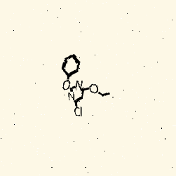 CCOc1cc(Cl)nc(Oc2ccccc2)n1